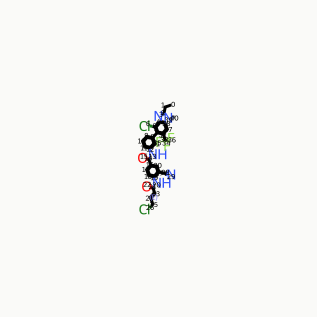 CCc1nc2c(Cl)c(-c3cccc(NC(=O)c4ccc(NC(=O)/C=C/CCl)c(C#N)c4)c3)c(C(F)(F)F)cc2n1C